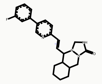 O=C1NCN2C(/C=C/c3ccc(-c4cccc(F)c4)cn3)C3CCCCC3CN12